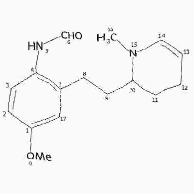 COc1ccc(NC=O)c(CCC2CCC=CN2C)c1